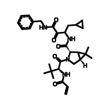 C=CC(=O)N[C@H](C(=O)N1C[C@H]2C([C@H]1C(=O)NC(CC1CC1)C(=O)C(=O)NCc1ccccc1)C2(C)C)C(C)(C)C